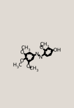 COc1cc(O)ccc1/N=N/c1cc(OC)c(OC)c(OC)c1